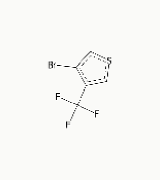 FC(F)(F)c1cscc1Br